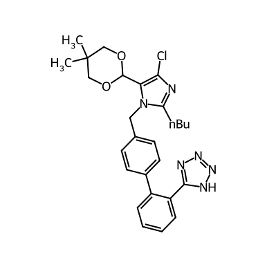 CCCCc1nc(Cl)c(C2OCC(C)(C)CO2)n1Cc1ccc(-c2ccccc2-c2nnn[nH]2)cc1